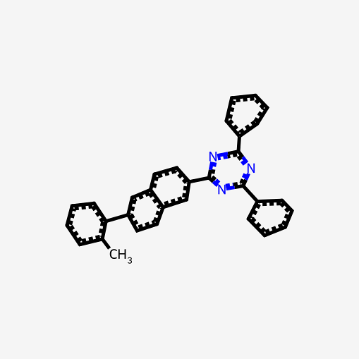 Cc1ccccc1-c1ccc2cc(-c3nc(-c4ccccc4)nc(-c4ccccc4)n3)ccc2c1